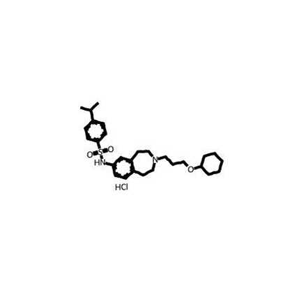 CC(C)c1ccc(S(=O)(=O)Nc2ccc3c(c2)CCN(CCCOC2CCCCC2)CC3)cc1.Cl